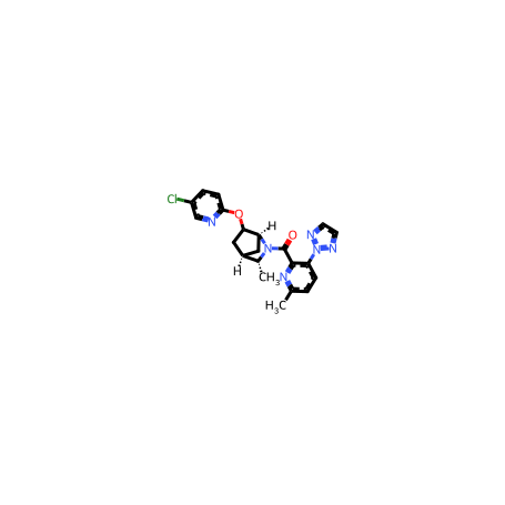 Cc1ccc(-n2nccn2)c(C(=O)N2[C@H](C)[C@H]3CC(Oc4ccc(Cl)cn4)[C@@H]2C3)n1